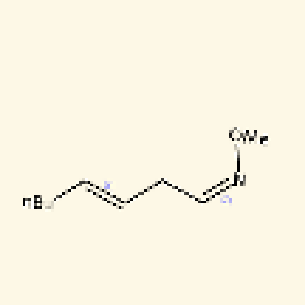 [CH2]CCC/C=C/C/C=N\OC